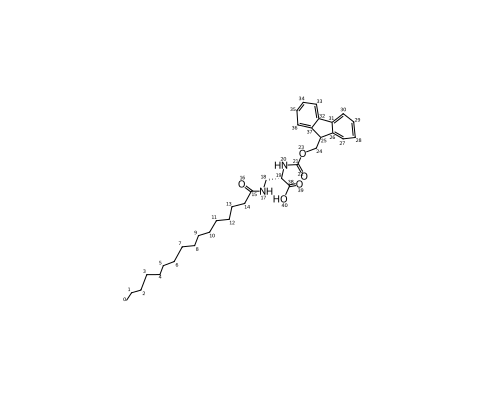 CCCCCCCCCCCCCCCC(=O)NC[C@H](NC(=O)OCC1c2ccccc2-c2ccccc21)C(=O)O